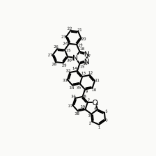 c1ccc2c(c1)oc1c(-c3cccc4c(-c5nnc6c7ccccc7c7ccccc7n56)cccc34)cccc12